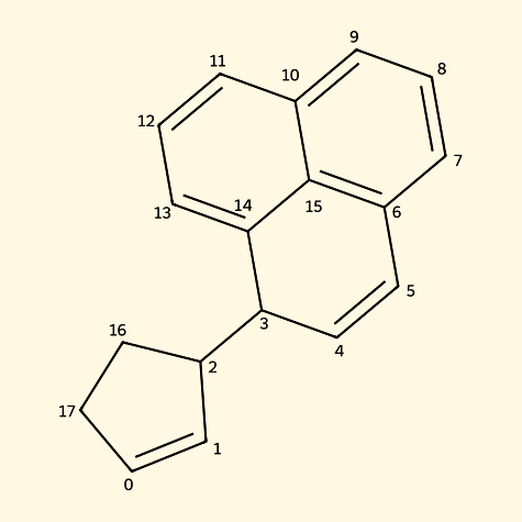 C1=CC(C2C=Cc3cccc4cccc2c34)CC1